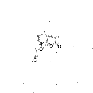 C#CCOc1cccc2ccc(=O)oc12